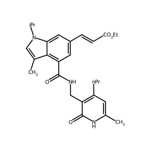 CCCc1cc(C)[nH]c(=O)c1CNC(=O)c1cc(C=CC(=O)OCC)cc2c1c(C)cn2C(C)C